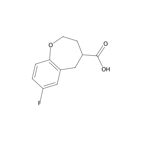 O=C(O)C1CCOc2ccc(F)cc2C1